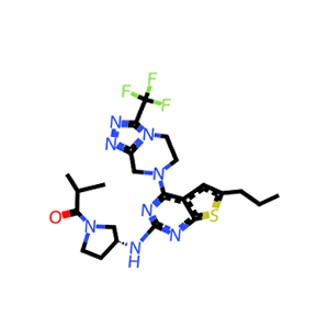 CCCc1cc2c(N3CCn4c(nnc4C(F)(F)F)C3)nc(N[C@@H]3CCN(C(=O)C(C)C)C3)nc2s1